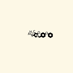 CC(=O)SC1CN(Cc2ccc(Oc3ccccc3)cc2)C(=O)C1C